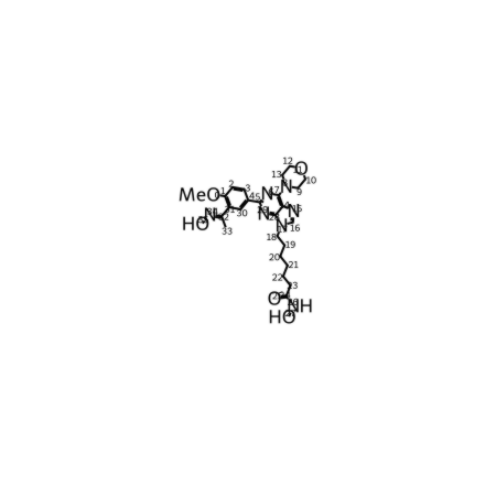 COc1ccc(-c2nc(N3CCOCC3)c3ncn(CCCCCCC(=O)NO)c3n2)cc1C(C)=NO